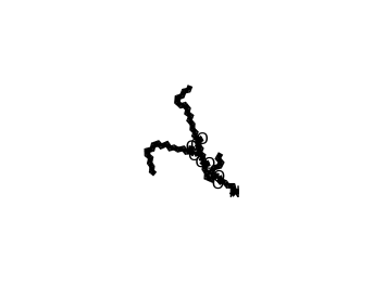 CC/C=C\CC1C(CC(=O)OCC(COC(=O)CCCCCCC/C=C\C/C=C\CCCC)OC(=O)CCCCCCC/C=C\C/C=C\CCCCC)CCC1OC(=O)CCCN(C)C